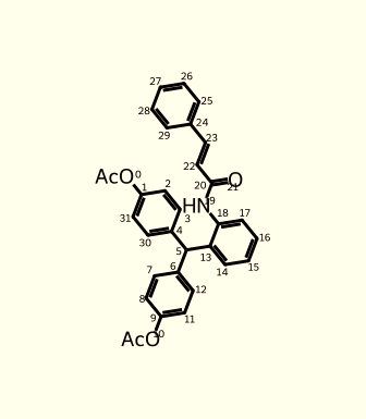 CC(=O)Oc1ccc(C(c2ccc(OC(C)=O)cc2)c2ccccc2NC(=O)C=Cc2ccccc2)cc1